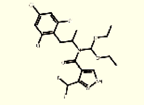 CCOC(OCC)N(C(=O)c1c[nH]nc1C(F)F)C(C)Cc1c(Cl)cc(Cl)cc1Cl